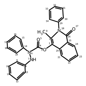 Cc1c(OC(=O)N(Nc2ccccc2)c2ccccc2)c2ccccc2c(=O)n1-c1ccccc1